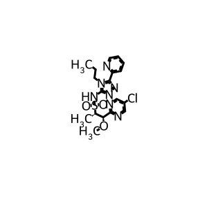 CCCn1c(NS(=O)(=O)[C@@H](C)[C@H](OC)c2ncc(Cl)cn2)nnc1-c1ccccn1